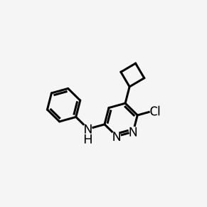 Clc1nnc(Nc2ccccc2)cc1C1CCC1